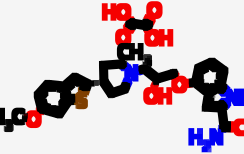 COc1ccc2cc([C@H]3CCN(C[C@H](O)COc4cccc5[nH]c(C(N)=O)cc45)[C@@H](C)C3)sc2c1.O=C(O)C(=O)O